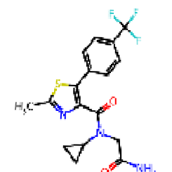 Cc1nc(C(=O)N(CC(N)=O)C2CC2)c(-c2ccc(C(F)(F)F)cc2)s1